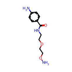 NOCCOCCNC(=O)c1ccc(N)cc1